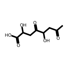 CC(=O)CC(O)C(=O)CC(O)C(=O)O